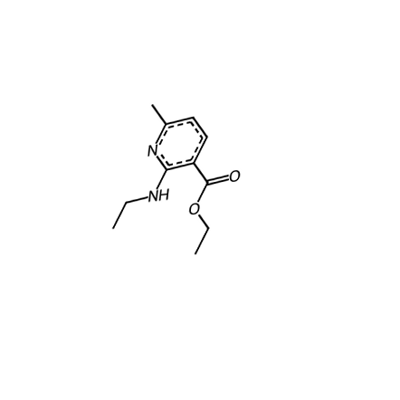 CCNc1nc(C)ccc1C(=O)OCC